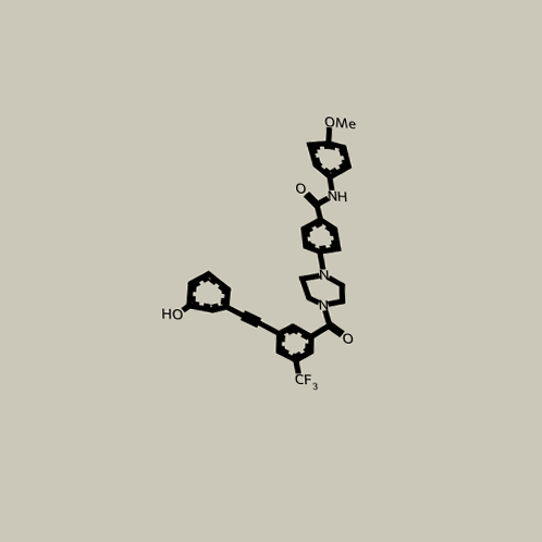 COc1ccc(NC(=O)c2ccc(N3CCN(C(=O)c4cc(C#Cc5cccc(O)c5)cc(C(F)(F)F)c4)CC3)cc2)cc1